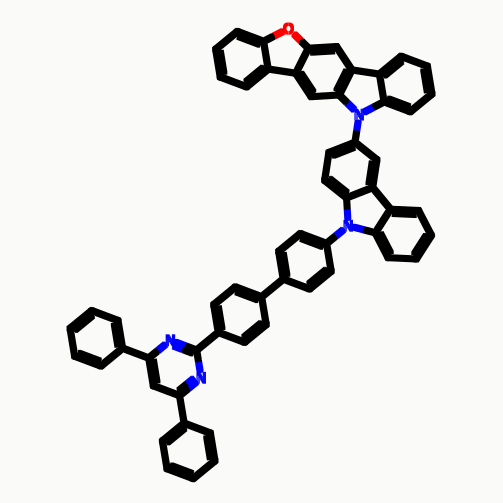 c1ccc(-c2cc(-c3ccccc3)nc(-c3ccc(-c4ccc(-n5c6ccccc6c6cc(-n7c8ccccc8c8cc9oc%10ccccc%10c9cc87)ccc65)cc4)cc3)n2)cc1